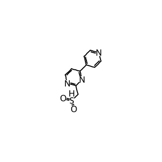 O=[SH](=O)Cc1nccc(-c2ccncc2)n1